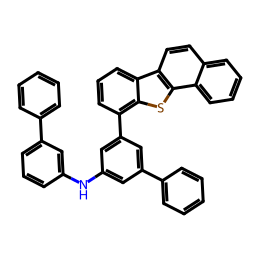 c1ccc(-c2cccc(Nc3cc(-c4ccccc4)cc(-c4cccc5c4sc4c6ccccc6ccc54)c3)c2)cc1